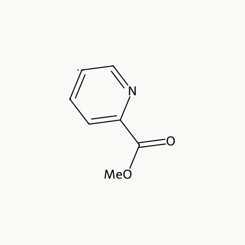 COC(=O)c1cc[c]cn1